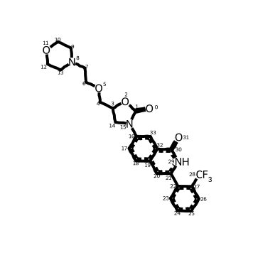 O=C1OC(COCCN2CCOCC2)CN1c1ccc2cc(-c3ccccc3C(F)(F)F)[nH]c(=O)c2c1